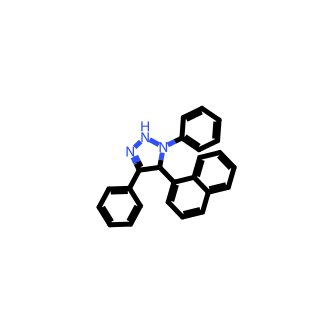 c1ccc(C2=NNN(c3ccccc3)C2c2cccc3ccccc23)cc1